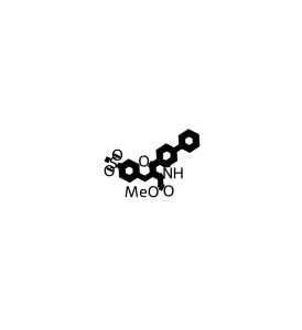 COC(=O)c1[nH]c2cc(-c3ccccc3)ccc2c(=O)c1Cc1ccc(S(C)(=O)=O)cc1